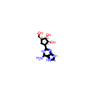 Nc1nc(C2C[C@@H](CO)[C@H](O)[C@H]2O)nc2nc[nH]c12